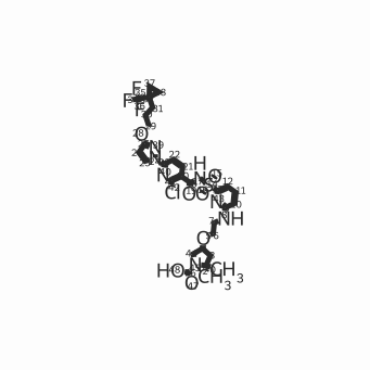 CC1(C)CC(OCCNc2cccc(S(=O)(=O)NC(=O)c3ccc(-n4ccc(OCCCC5(C(F)(F)F)CC5)n4)nc3Cl)n2)CN1C(=O)O